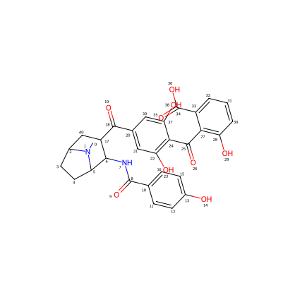 CN1C2CCC1C(NC(=O)c1ccc(O)cc1)C(C(=O)c1cc(O)c(C(=O)c3c(O)cccc3C(=O)O)c(O)c1)C2